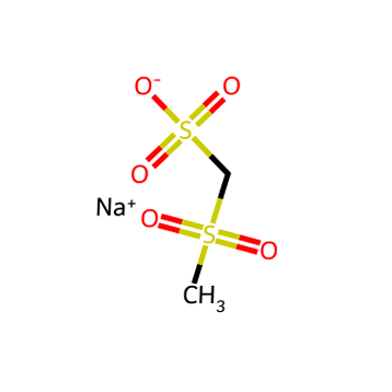 CS(=O)(=O)CS(=O)(=O)[O-].[Na+]